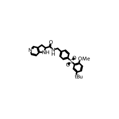 COc1ccc(C(C)(C)C)cc1S(=O)(=O)c1ccc(CNC(=O)C2Cc3cnccc3N2)cc1